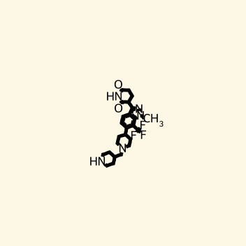 Cn1nc(C2CCC(=O)NC2=O)c2ccc(C3CCN(CC4CCNCC4)CC3)c(C(F)(F)F)c21